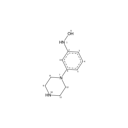 ONc1cccc(N2CCNCC2)c1